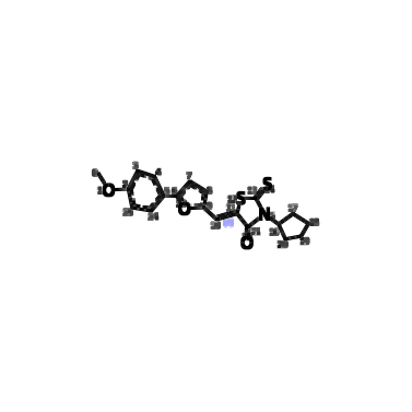 COc1ccc(-c2ccc(/C=C3\SC(=S)N(C4CCCC4)C3=O)o2)cc1